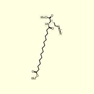 COC(=O)[C@H](CCN=[N+]=[N-])NC(=O)CCCCCCCCCCCCCCC(=O)OC(C)(C)C